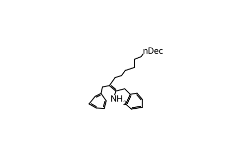 CCCCCCCCCCCCCCCCC(Cc1ccccc1)=C(N)Cc1ccccc1